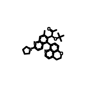 CC(=O)[C@@H](OC(C)(C)C)c1c(C)cc2nc(N3CCCC3)ccc2c1-c1ccc2c3c(ccnc13)CCO2